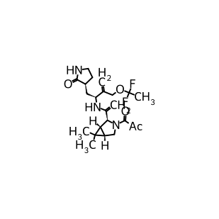 C=C(COC(C)(F)F)[C@H](C[C@@H]1CCNC1=O)NC(=C)[C@@H]1[C@@H]2[C@H](CN1C(=O)C(C)=O)C2(C)C